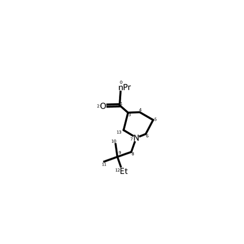 CCCC(=O)C1CCCN(CC(C)(C)CC)C1